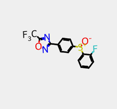 [O-][S+](c1ccc(-c2noc(C(F)(F)F)n2)cc1)c1ccccc1F